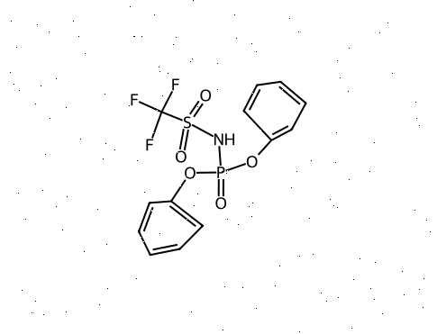 O=P(NS(=O)(=O)C(F)(F)F)(Oc1ccccc1)Oc1ccccc1